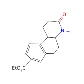 CCOC(=O)c1ccc2c(c1)CCC1C2CCC(=O)N1C